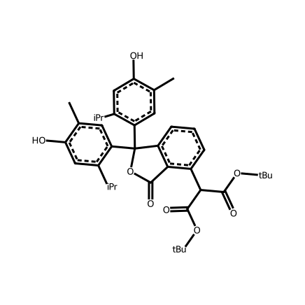 Cc1cc(C2(c3cc(C)c(O)cc3C(C)C)OC(=O)c3c(C(C(=O)OC(C)(C)C)C(=O)OC(C)(C)C)cccc32)c(C(C)C)cc1O